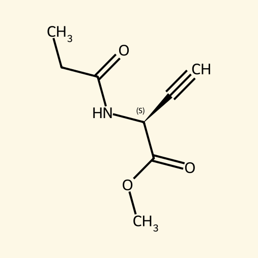 C#C[C@H](NC(=O)CC)C(=O)OC